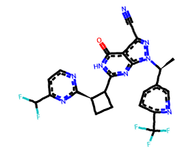 C[C@@H](c1ccc(C(F)(F)F)nc1)n1nc(C#N)c2c(=O)[nH]c(C3CC[C@H]3c3nccc(C(F)F)n3)nc21